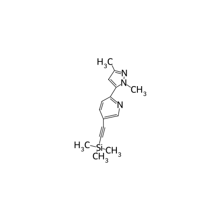 Cc1cc(-c2ccc(C#C[Si](C)(C)C)cn2)n(C)n1